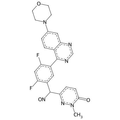 Cn1nc(C(N=O)c2cc(-c3ncnc4cc(N5CCOCC5)ccc34)c(F)cc2F)ccc1=O